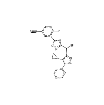 N#Cc1ccc(F)c(-c2nc(C(S)c3nnc(-c4ccncc4)n3C3CC3)no2)c1